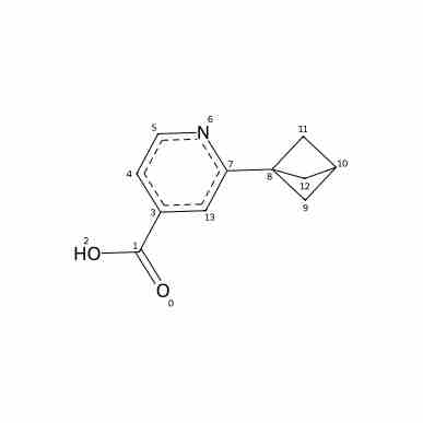 O=C(O)c1ccnc(C23CC(C2)C3)c1